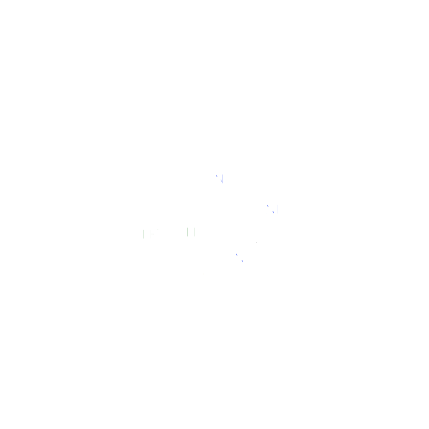 Cl.Cl.O=C([C@@H]1C[C@H](N2CCCCC2)CN1)N1CCSC1